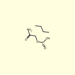 CCCC.NC(=O)CO[PH](=O)O